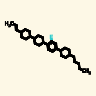 C/C=C/C1CCC(C2CCC(c3ccc(C4CCC(CCCCC)CC4)cc3F)CC2)CC1